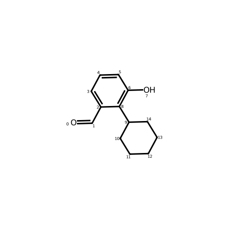 O=Cc1cccc(O)c1C1CCCCC1